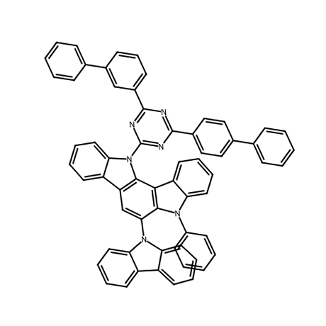 c1ccc(-c2ccc(-c3nc(-c4cccc(-c5ccccc5)c4)nc(-n4c5ccccc5c5cc(-n6c7ccccc7c7ccccc76)c6c(c7ccccc7n6-c6ccccc6)c54)n3)cc2)cc1